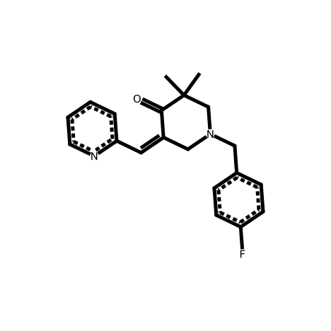 CC1(C)CN(Cc2ccc(F)cc2)CC(=Cc2ccccn2)C1=O